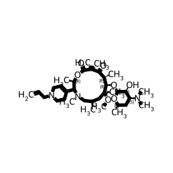 C=CCN1CC=C(C2[C@@H](C)OC(=O)C(C)(C)C(=O)[C@H](C)[C@@H](O[C@@H]3O[C@H](C)C[C@H](N(C)C)[C@H]3O)[C@](C)(OC)C[C@@H](C)CN2C)CC1